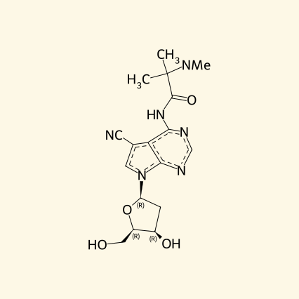 CNC(C)(C)C(=O)Nc1ncnc2c1c(C#N)cn2[C@H]1C[C@@H](O)[C@@H](CO)O1